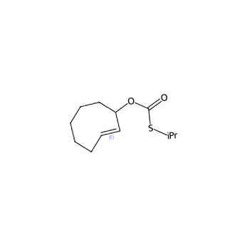 CC(C)SC(=O)OC1/C=C/CCCCC1